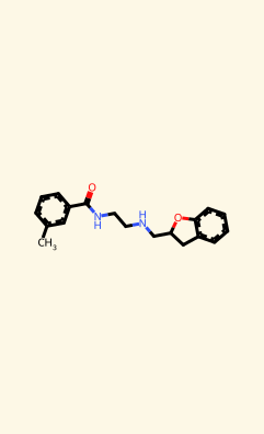 Cc1cccc(C(=O)NCCNCC2Cc3ccccc3O2)c1